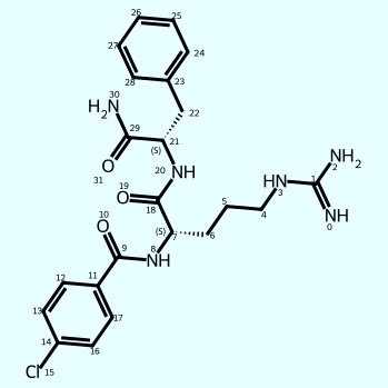 N=C(N)NCCC[C@H](NC(=O)c1ccc(Cl)cc1)C(=O)N[C@@H](Cc1ccccc1)C(N)=O